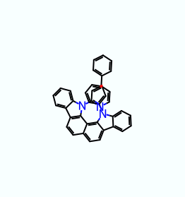 c1ccc(-c2ccnc(-n3c4ccccc4c4ccc5ccc6c7ccccc7n(-c7ccccc7)c6c5c43)c2)cc1